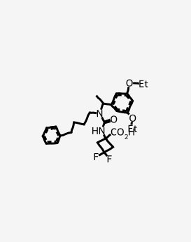 CCOc1cc(OCC)cc(C(C)N(CCCCc2ccccc2)C(=O)NC2(C(=O)O)CC(F)(F)C2)c1